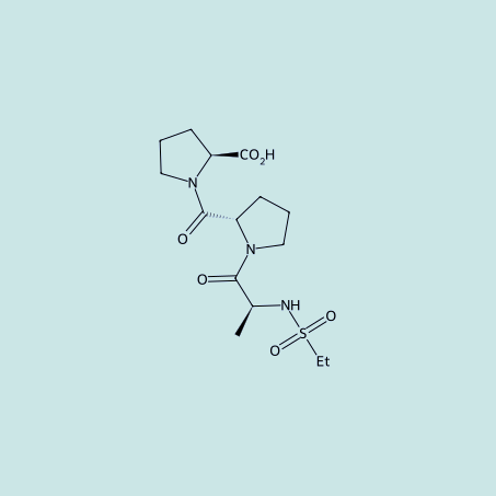 CCS(=O)(=O)N[C@@H](C)C(=O)N1CCC[C@H]1C(=O)N1CCC[C@H]1C(=O)O